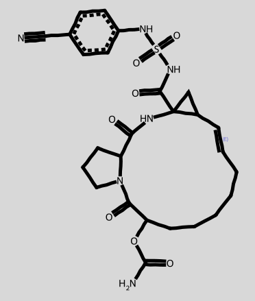 N#Cc1ccc(NS(=O)(=O)NC(=O)C23CC2/C=C/CCCCCC(OC(N)=O)C(=O)N2CCCC2C(=O)N3)cc1